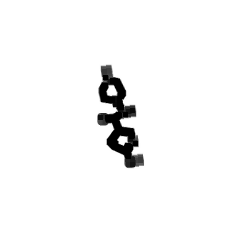 O=C(NN1CCNCC1)c1ccc(O)nc1